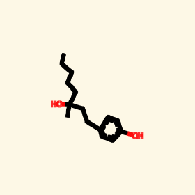 CCCCCC(C)(O)CCc1ccc(O)cc1